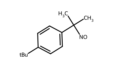 CC(C)(C)c1ccc(C(C)(C)N=O)cc1